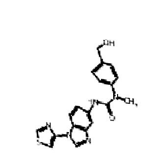 CN(C(=O)Nc1ccc2c(c1)ncn2-c1cscn1)c1ccc(CO)cc1